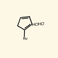 Cl.Cl.[Ru][C]1=CC=CC1